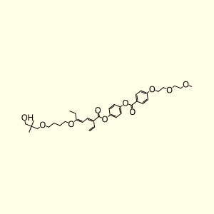 C=C/C(=C\C=C(/CC)OCCCCOCC(C)(C)CO)C(=O)Oc1ccc(OC(=O)c2ccc(OCCOCCOC)cc2)cc1